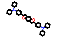 c1ccc(N(c2ccccc2)c2ccc(-c3cc4cc5oc(-c6ccc(N(c7ccccc7)c7ccccc7)cc6)cc5cc4o3)cc2)cc1